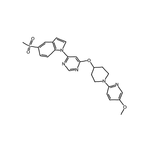 COc1ccc(N2CCC(Oc3cc(-n4ccc5cc(S(C)(=O)=O)ccc54)ncn3)CC2)nc1